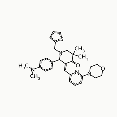 CN(C)c1ccc(C2/C(=C/c3cccc(N4CCOCC4)n3)C(=O)C(C)(C)CN2Cc2cccs2)cc1